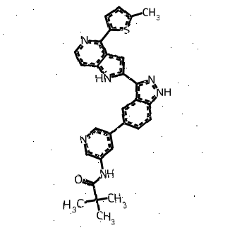 Cc1ccc(-c2nccc3[nH]c(-c4n[nH]c5ccc(-c6cncc(NC(=O)C(C)(C)C)c6)cc45)cc23)s1